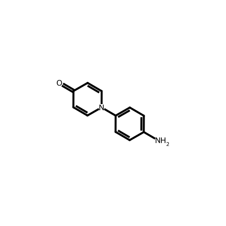 Nc1ccc(-n2ccc(=O)cc2)cc1